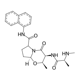 CN[C@@H](C)C(=O)N[C@@H]1C(=O)N2C(C(=O)Nc3cccc4ccccc34)CC[C@@H]2O[C@@H]1C